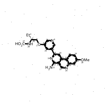 CC[C@H](COc1cncc(-c2cc3c(cnc4cc(OC)ccc43)c(N)n2)c1)NC(=O)O